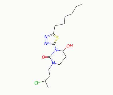 CCCCCCc1nnc(N2C(=O)N(CCC(C)Cl)CCC2O)s1